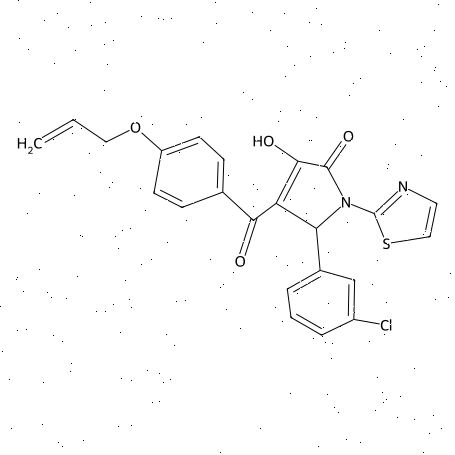 C=CCOc1ccc(C(=O)C2=C(O)C(=O)N(c3nccs3)C2c2cccc(Cl)c2)cc1